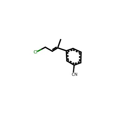 CC(=CCCl)c1cccc(C#N)c1